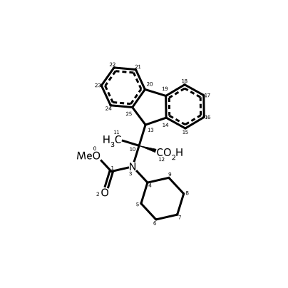 COC(=O)N(C1CCCCC1)[C@@](C)(C(=O)O)C1c2ccccc2-c2ccccc21